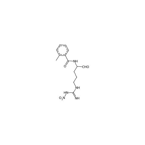 Cc1ccccc1C(=O)NC(C=O)CCCNC(=N)N[N+](=O)[O-]